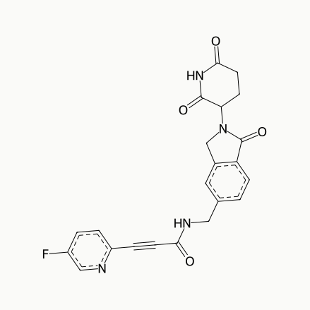 O=C(C#Cc1ccc(F)cn1)NCc1ccc2c(c1)CN(C1CCC(=O)NC1=O)C2=O